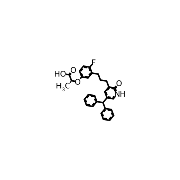 C[C@H](Oc1ccc(F)c(CCCc2cc(C(c3ccccc3)c3ccccc3)c[nH]c2=O)c1)C(=O)O